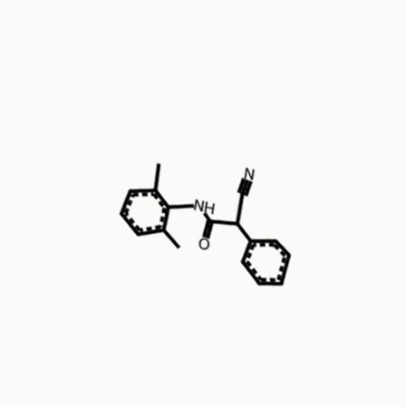 Cc1cccc(C)c1NC(=O)C(C#N)c1ccccc1